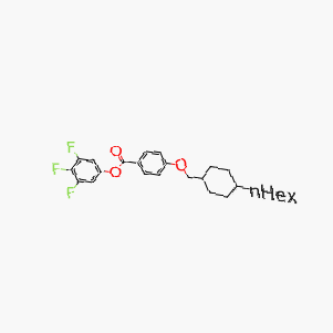 CCCCCCC1CCC(COc2ccc(C(=O)Oc3cc(F)c(F)c(F)c3)cc2)CC1